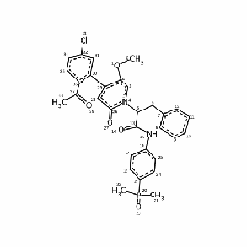 COc1cn(C(Cc2ccccc2)C(=O)Nc2ccc(P(C)(C)=O)cc2)c(=O)cc1-c1cc(Cl)ccc1C(C)=O